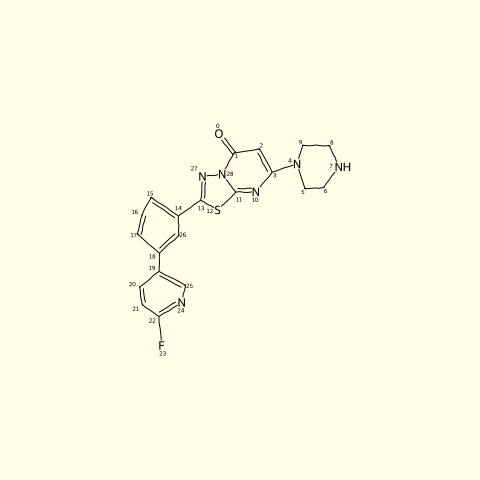 O=c1cc(N2CCNCC2)nc2sc(-c3cccc(-c4ccc(F)nc4)c3)nn12